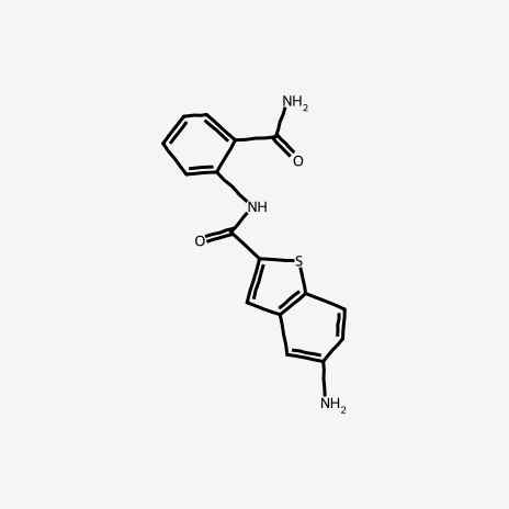 NC(=O)c1ccccc1NC(=O)c1cc2cc(N)ccc2s1